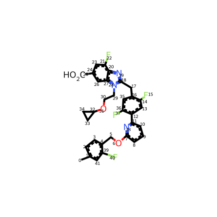 Cc1ccc(COc2cccc(-c3cc(F)c(Cc4nc5c(F)cc(C(=O)O)cc5n4CCOC4CC4)cc3F)n2)c(F)c1